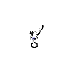 C=CSCC(O)S/C(=N\CC)N1CCCCC1